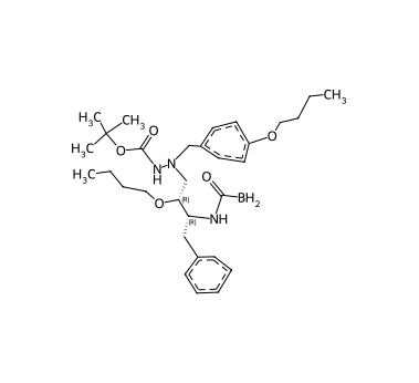 BC(=O)N[C@H](Cc1ccccc1)[C@@H](CN(Cc1ccc(OCCCC)cc1)NC(=O)OC(C)(C)C)OCCCC